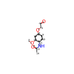 COc1cc(OC[C]=O)ccc1NC(C)=O